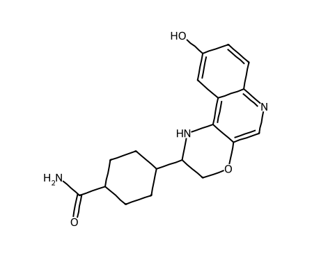 NC(=O)C1CCC(C2COc3cnc4ccc(O)cc4c3N2)CC1